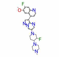 COc1cc2c(-c3cnn4cc(N5CCC(N6CCN(C)CC6)C(F)C5)cnc34)ccnc2cc1F